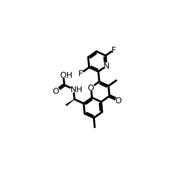 Cc1cc([C@@H](C)NC(=O)O)c2oc(-c3nc(F)ccc3F)c(C)c(=O)c2c1